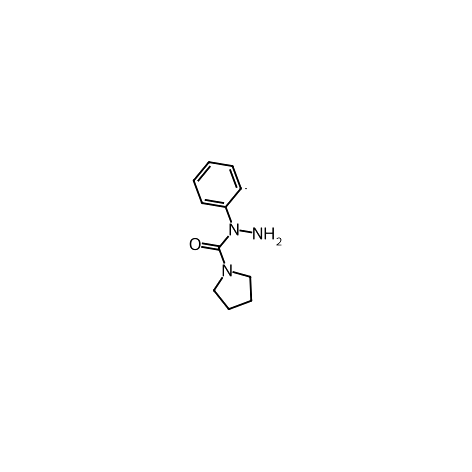 NN(C(=O)N1CCCC1)c1[c]cccc1